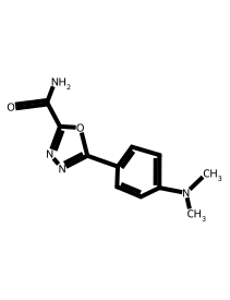 CN(C)c1ccc(-c2nnc(C(N)=O)o2)cc1